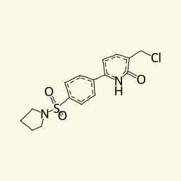 O=c1[nH]c(-c2ccc(S(=O)(=O)N3CCCC3)cc2)ccc1CCl